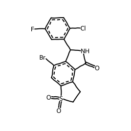 O=C1NC(c2cc(F)ccc2Cl)c2c(Br)cc3c(c21)CCS3(=O)=O